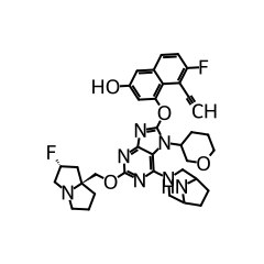 C#Cc1c(F)ccc2cc(O)cc(Oc3nc4nc(OC[C@@]56CCCN5C[C@H](F)C6)nc(N5CC6CCC(C5)N6)c4n3C3CCCOC3)c12